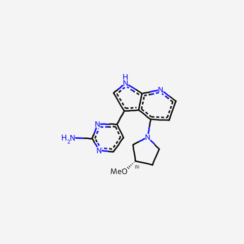 CO[C@H]1CCN(c2ccnc3[nH]cc(-c4ccnc(N)n4)c23)C1